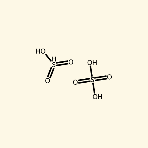 O=S(=O)(O)O.O=[SH](=O)O